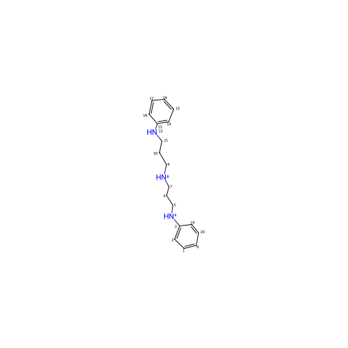 c1ccc(NCCCNCCCNc2ccccc2)cc1